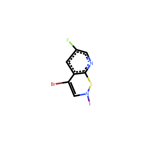 Fc1cnc2c(c1)C(Br)=CN(I)S2